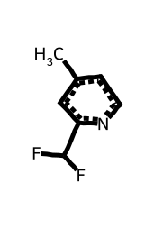 Cc1ccnc(C(F)F)c1